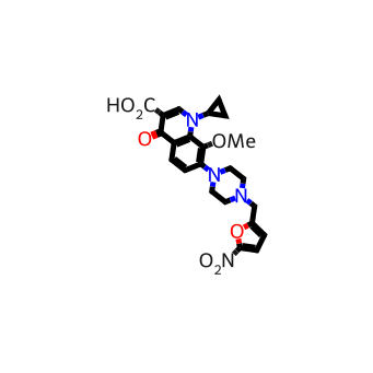 COc1c(N2CCN(Cc3ccc([N+](=O)[O-])o3)CC2)ccc2c(=O)c(C(=O)O)cn(C3CC3)c12